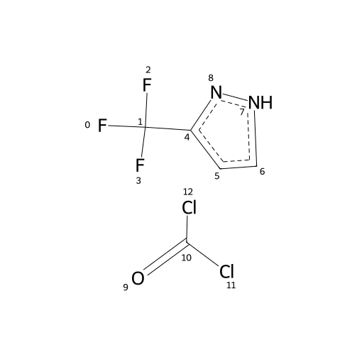 FC(F)(F)c1cc[nH]n1.O=C(Cl)Cl